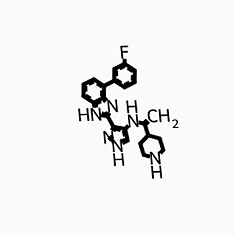 C=C(Nc1c[nH]nc1-c1nc2c(-c3cccc(F)c3)cccc2[nH]1)C1CCNCC1